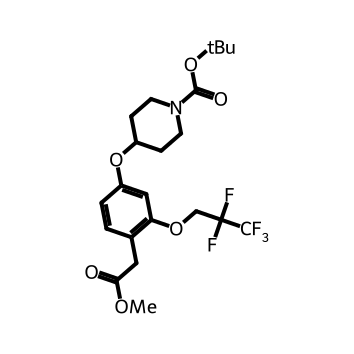 COC(=O)Cc1ccc(OC2CCN(C(=O)OC(C)(C)C)CC2)cc1OCC(F)(F)C(F)(F)F